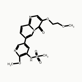 COCCOc1cnc2ccc(-c3cnc(OC)c(NS(C)(=O)=O)c3)cn2c1=O